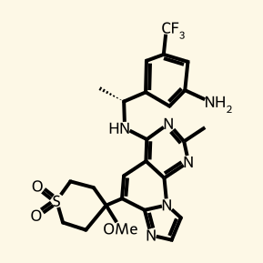 COC1(c2cc3c(N[C@H](C)c4cc(N)cc(C(F)(F)F)c4)nc(C)nc3n3ccnc23)CCS(=O)(=O)CC1